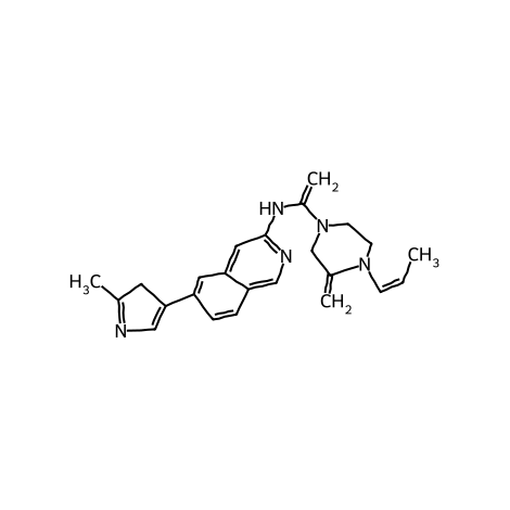 C=C1CN(C(=C)Nc2cc3cc(C4=CN=C(C)C4)ccc3cn2)CCN1/C=C\C